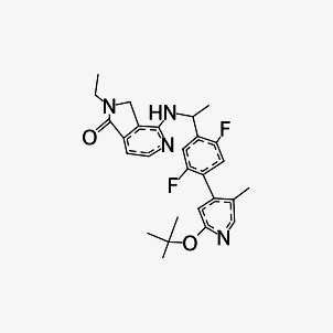 CCN1Cc2c(ccnc2NC(C)c2cc(F)c(-c3cc(OC(C)(C)C)ncc3C)cc2F)C1=O